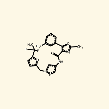 Cc1cccc(-c2oc(C)nc2C(=O)Nc2cnn(Cc3ccc(C(C)(F)F)o3)c2)c1